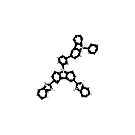 c1ccc(-n2c3ccccc3c3cc(-c4cccc(-n5c6ccc(-c7nc8ccccc8o7)cc6c6cc(-c7nc8ccccc8o7)ccc65)c4)ccc32)cc1